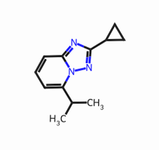 CC(C)c1cccc2nc(C3CC3)nn12